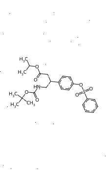 CC(C)OC(=O)CC(CNC(=O)OC(C)(C)C)c1ccc(OS(=O)(=O)c2ccccc2)cc1